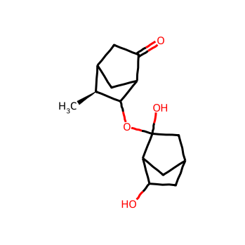 C[C@H]1C2CC(=O)C(C2)C1OC1(O)CC2CC(O)C1C2